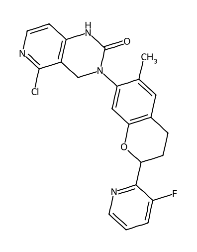 Cc1cc2c(cc1N1Cc3c(ccnc3Cl)NC1=O)OC(c1ncccc1F)CC2